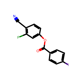 N#Cc1ccc(OC(=O)c2ccc(I)cc2)cc1F